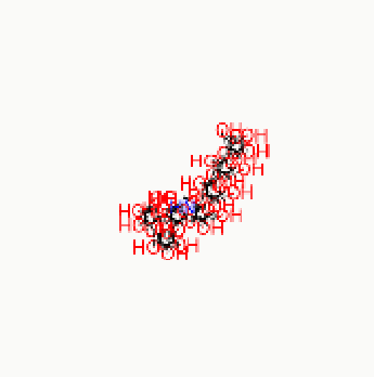 CC(=O)N[C@H]1[C@H](O[C@H]2[C@@H](O)[C@@H](CO)O[C@H](O[C@H]3[C@@H](O)[C@@H](CO)O[C@@H](O[C@H]4[C@H](O)[C@@H](O)[C@H](O)O[C@@H]4CO)[C@@H]3O)[C@@H]2O)O[C@H](CO)[C@H](O)[C@@H]1O[C@@H]1O[C@H](CO)[C@H](O)[C@H](O[C@H]2O[C@H](CO)[C@H](O)[C@H](O)[C@H]2O)[C@H]1O[C@@H]1O[C@@H](C)[C@@H](O)[C@@H](O)[C@@H]1O